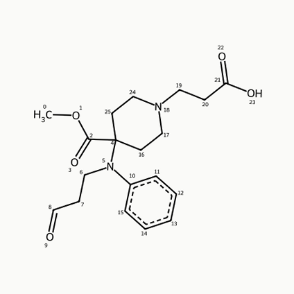 COC(=O)C1(N(CCC=O)c2ccccc2)CCN(CCC(=O)O)CC1